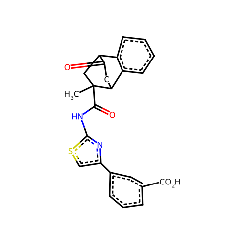 CC1(C(=O)Nc2nc(-c3cccc(C(=O)O)c3)cs2)CC2C(=O)CC1c1ccccc12